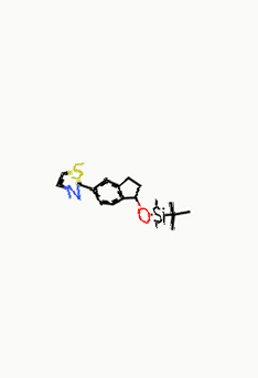 CC(C)(C)[Si](C)(C)OC1CCc2cc(-c3nccs3)ccc21